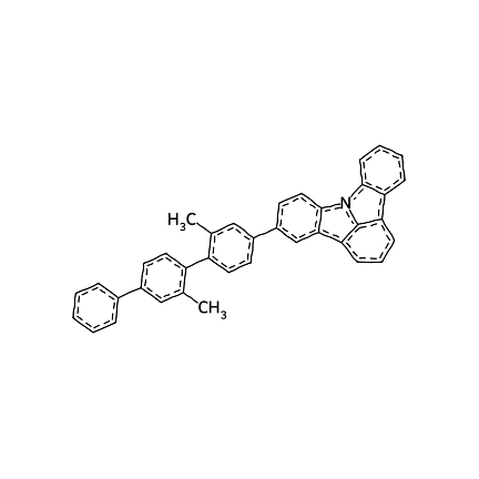 Cc1cc(-c2ccccc2)ccc1-c1ccc(-c2ccc3c(c2)c2cccc4c5ccccc5n3c42)cc1C